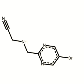 N#CCNCc1ncc(Br)cn1